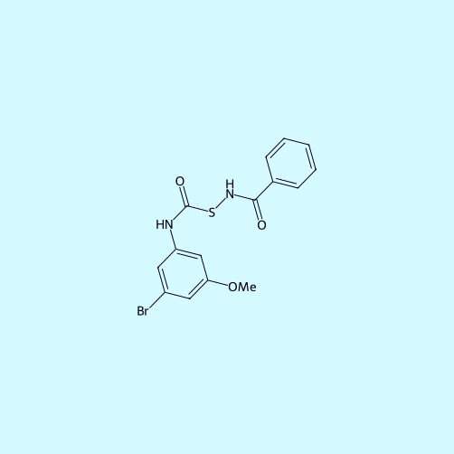 COc1cc(Br)cc(NC(=O)SNC(=O)c2ccccc2)c1